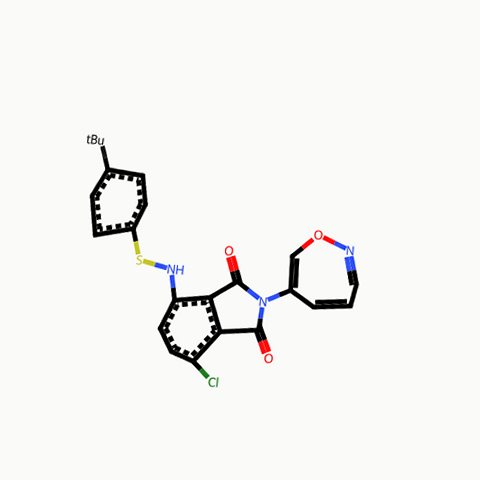 CC(C)(C)c1ccc(SNc2ccc(Cl)c3c2C(=O)N(C2=CON=CC=C2)C3=O)cc1